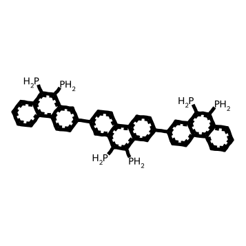 Pc1c(P)c2cc(-c3ccc4c(c3)c(P)c(P)c3cc(-c5ccc6c(c5)c(P)c(P)c5ccccc56)ccc34)ccc2c2ccccc12